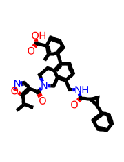 Cc1c(C(=O)O)cccc1-c1ccc(CNC(=O)C2CC2c2ccccc2)c2c1CCN(C(=O)c1cnoc1C(C)C)C2